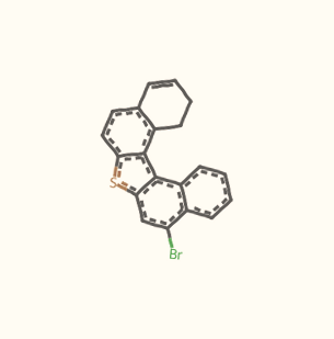 Brc1cc2sc3ccc4c(c3c2c2ccccc12)CCC=C4